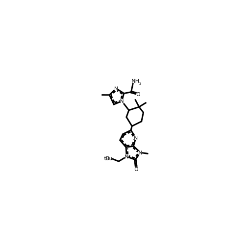 Cc1cn(C2CC(c3ccc4c(n3)n(C)c(=O)n4CC(C)(C)C)CCC2(C)C)c(C(N)=O)n1